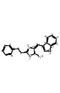 OC1OC(CCc2ccccc2)=N/C1=C/c1c[nH]c2ccccc12